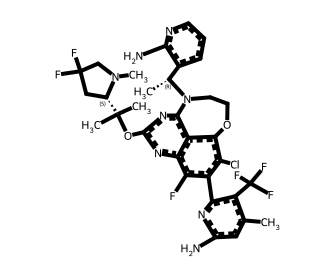 Cc1cc(N)nc(-c2c(Cl)c3c4c(nc(OC(C)(C)[C@@H]5CC(F)(F)CN5C)nc4c2F)N([C@H](C)c2cccnc2N)CCO3)c1C(F)(F)F